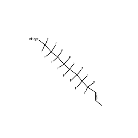 C/C=C/C(F)(F)C(F)(F)C(F)(F)C(F)(F)C(F)(F)C(F)(F)C(F)(F)C(F)(F)CCCCCCC